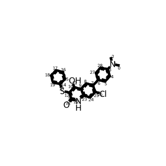 CN(C)c1ccc(-c2cc3c(O)c(Sc4ccccc4)c(=O)[nH]c3cc2Cl)cc1